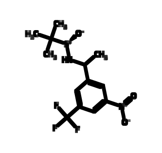 CC(N[S@+]([O-])C(C)(C)C)c1cc([N+](=O)[O-])cc(C(F)(F)F)c1